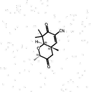 C[C@@H]1O[C@H]2C(C)(C)C(=O)C(C#N)=C[C@]2(C)CC1=O